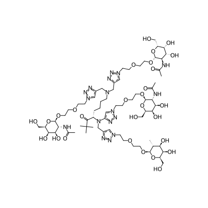 CC(=O)N[C@H]1[C@H](OCCOCCn2cc(CN(CCCC[C@@H](C(=O)C(C)(C)C)N(Cc3cn(CCOCCO[C@@H]4O[C@H](CO)[C@H](O)[C@H](O)[C@H]4C)nn3)c3cn(CCOCCO[C@@H]4O[C@H](CO)[C@H](O)[C@H](O)[C@H]4NC(C)=O)nn3)Cc3cn(CCOCCO[C@@H]4O[C@H](CO)[C@H](O)[C@H](O)[C@H]4NC(C)=O)nn3)nn2)O[C@H](CO)[C@H](O)[C@@H]1O